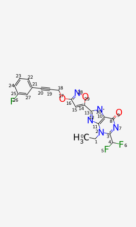 CCn1c(C(F)F)nc(=O)c2c1N=C(c1cc(OCC#Cc3cccc(F)c3)no1)[N]2